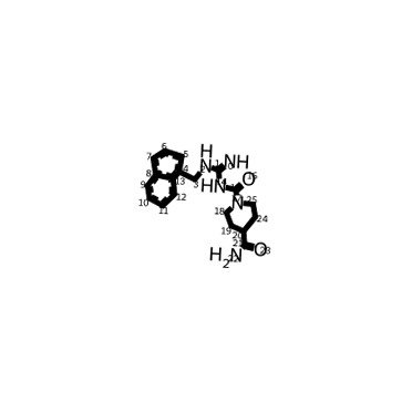 N=C(NCc1cccc2ccccc12)NC(=O)N1CCC(C(N)=O)CC1